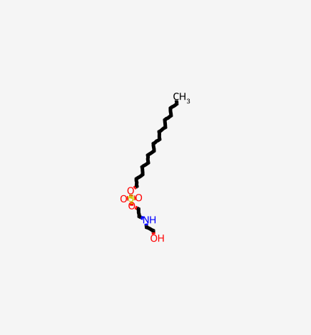 CCCCCCCCCCCCCCCCOS(=O)(=O)OCCNCCO